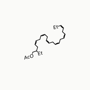 CC/C=C\C/C=C\C/C=C\C/C=C\C/C=C\C/C=C\CC(CC)COC(C)=O